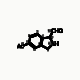 CC(=O)c1ccc2c(c1)CNC2C=O